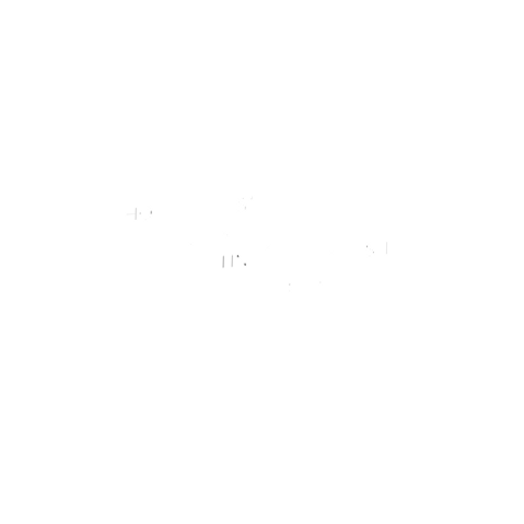 OCCC(=S)Nc1ccc(S)cc1